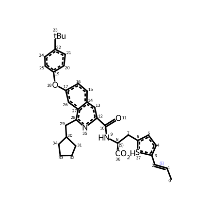 C/C=C/c1ccc(C[C@H](NC(=O)c2cc3ccc(Oc4ccc(C(C)(C)C)cc4)cc3c(CC3CCCC3)n2)C(=O)O)s1